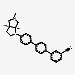 CN1C[C@H]2CCN(c3ccc(-c4ccc(-c5cccc(C#N)c5)cc4)cc3)[C@H]2C1